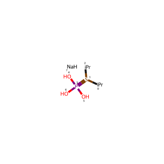 CC(C)S(C(C)C)=P(O)(O)O.[NaH]